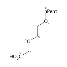 CCCCCOCCOCC(=O)O